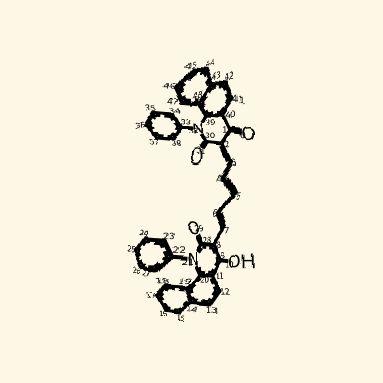 O=C1C(=CC=CC=Cc2c(O)c3ccc4ccccc4c3n(-c3ccccc3)c2=O)C(=O)N(c2ccccc2)c2c1ccc1ccccc21